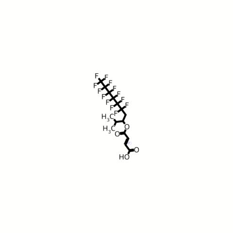 CC(C)C(CC(F)(F)C(F)(F)C(F)(F)C(F)(F)C(F)(F)C(F)(F)F)OC(=O)/C=C/C(=O)O